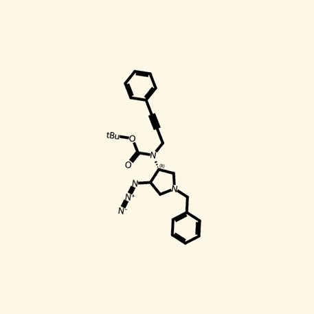 CC(C)(C)OC(=O)N(CC#Cc1ccccc1)[C@@H]1CN(Cc2ccccc2)CC1N=[N+]=[N-]